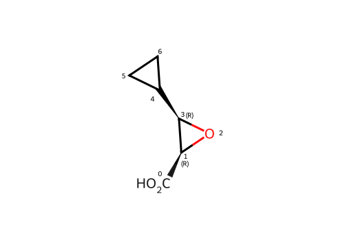 O=C(O)[C@@H]1O[C@@H]1C1CC1